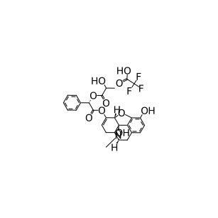 CC(O)C(=O)O[C@H](C(=O)OC1=CC[C@@]2(O)[C@H]3Cc4ccc(O)c5c4[C@@]2(CCN3C)[C@H]1O5)c1ccccc1.O=C(O)C(F)(F)F